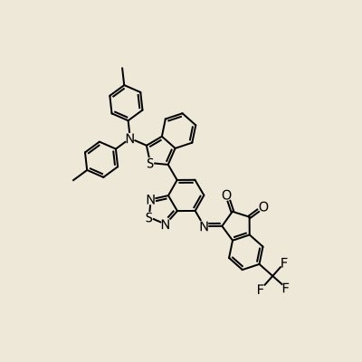 Cc1ccc(N(c2ccc(C)cc2)c2sc(-c3ccc(/N=c4\c(=O)c(=O)c5cc(C(F)(F)F)ccc45)c4nsnc34)c3ccccc23)cc1